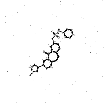 Cn1cc(-c2cnc3ccc4ccc(CS(=O)(=O)Nc5ccncc5)cc4c(=O)c3c2)cn1